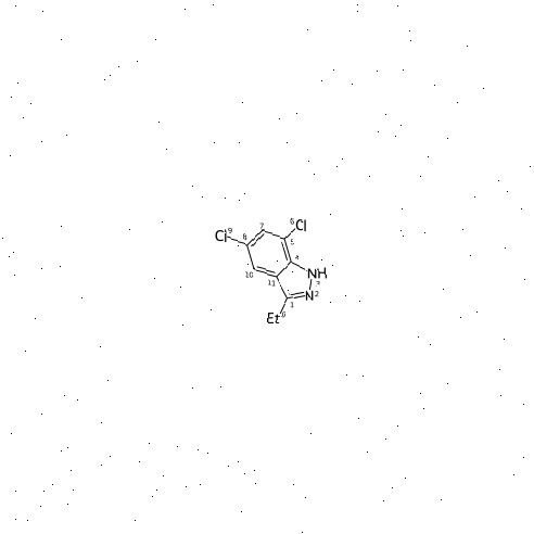 CCc1n[nH]c2c(Cl)cc(Cl)cc12